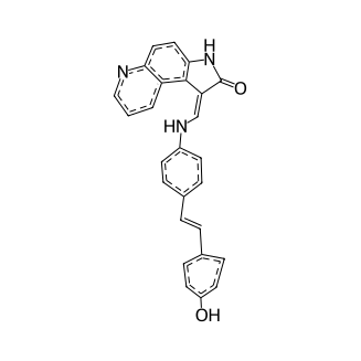 O=C1Nc2ccc3ncccc3c2/C1=C\Nc1ccc(/C=C/c2ccc(O)cc2)cc1